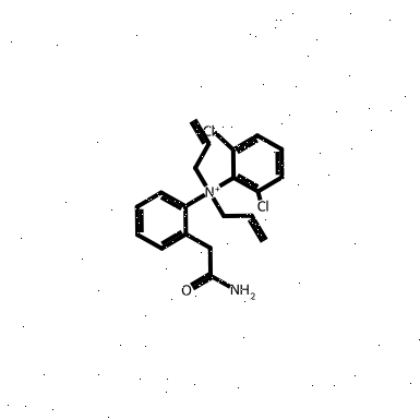 C=CC[N+](CC=C)(c1ccccc1CC(N)=O)c1c(Cl)cccc1Cl